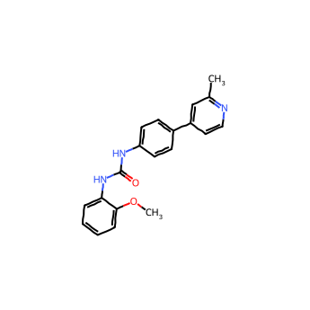 COc1ccccc1NC(=O)Nc1ccc(-c2ccnc(C)c2)cc1